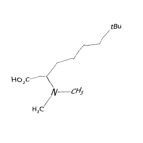 CN(C)C(CCCCC(C)(C)C)C(=O)O